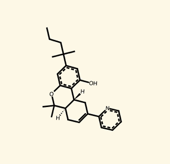 CCCC(C)(C)c1cc(O)c2c(c1)OC(C)(C)[C@@H]1CC=C(c3ccccn3)C[C@@H]21